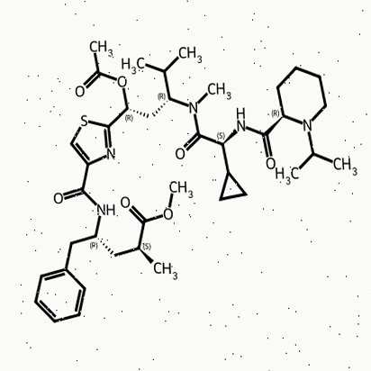 COC(=O)[C@@H](C)C[C@H](Cc1ccccc1)NC(=O)c1csc([C@@H](C[C@H](C(C)C)N(C)C(=O)[C@@H](NC(=O)[C@H]2CCCCN2C(C)C)C2CC2)OC(C)=O)n1